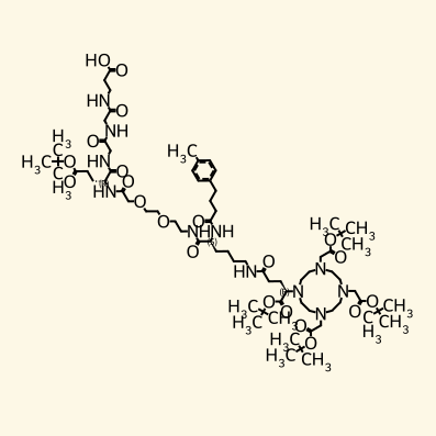 Cc1ccc(CCCC(=O)N[C@@H](CCCCNC(=O)CC[C@H](C(=O)OC(C)(C)C)N2CCN(CC(=O)OC(C)(C)C)CCN(CC(=O)OC(C)(C)C)CCN(CC(=O)OC(C)(C)C)CC2)C(=O)NCCOCCOCC(=O)N[C@H](CCC(=O)OC(C)(C)C)C(=O)NCC(=O)NCC(=O)NCCC(=O)O)cc1